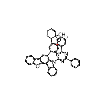 CC12C=CC=CC1c1cc(-c3cc4c5ccccc5oc4c4c5ccccc5n(-c5nc(-c6ccccc6)nc(-c6ccccc6)n5)c34)ccc1O2